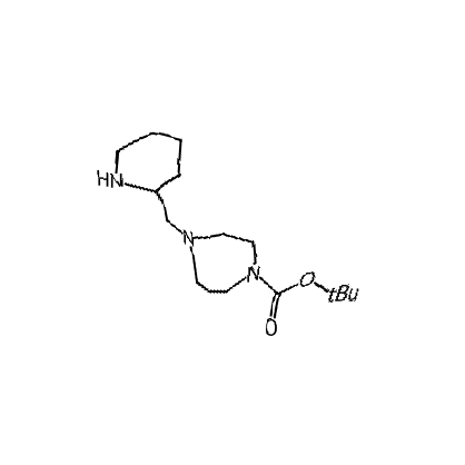 CC(C)(C)OC(=O)N1CCN(CC2CCCCN2)CC1